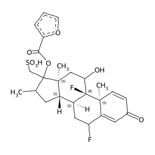 CC1C[C@H]2[C@@H]3CC(F)C4=CC(=O)C=C[C@]4(C)[C@@]3(F)C(O)C[C@]2(C)C1(CS(=O)(=O)O)OC(=O)c1ccco1